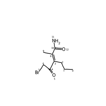 CCCC(C(=O)CBr)=C(C)C(N)=O